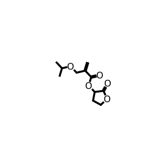 C=C(COC(C)C)C(=O)OC1CCOC1=O